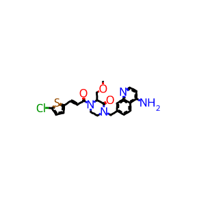 COCC1C(=O)N(Cc2ccc3c(N)ccnc3c2)CCN1C(=O)/C=C/c1ccc(Cl)s1